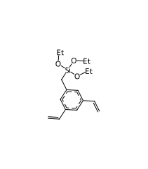 C=Cc1cc(C=C)cc(C[Si](OCC)(OCC)OCC)c1